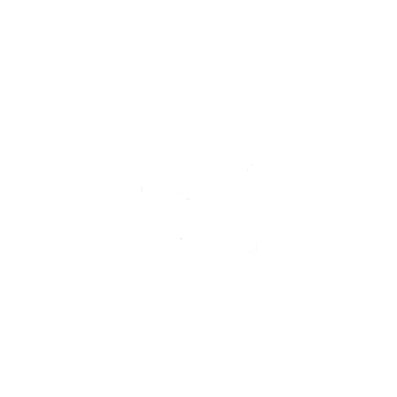 CCC(=O)[Si](C)(CC)CC